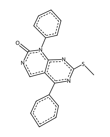 CSc1nc(-c2ccccc2)c2cnc(=O)n(-c3ccccc3)c2n1